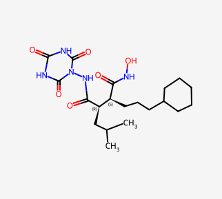 CC(C)C[C@@H](C(=O)Nn1c(=O)[nH]c(=O)[nH]c1=O)[C@H](CCCC1CCCCC1)C(=O)NO